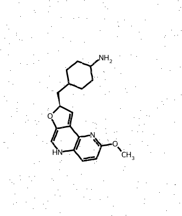 COc1ccc2c(n1)C1=C[C@H](CC3CCC(N)CC3)OC1=CN2